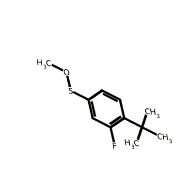 COSc1ccc(C(C)(C)C)c(F)c1